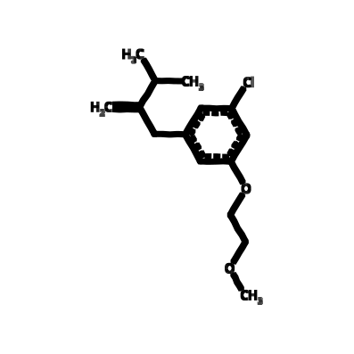 C=C(Cc1cc(Cl)cc(OCCOC)c1)C(C)C